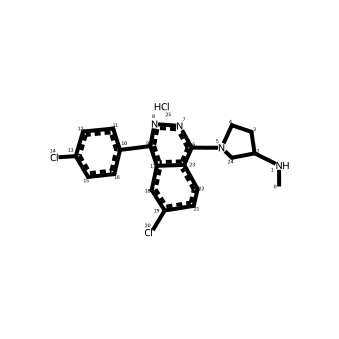 CNC1CCN(c2nnc(-c3ccc(Cl)cc3)c3cc(Cl)ccc23)C1.Cl